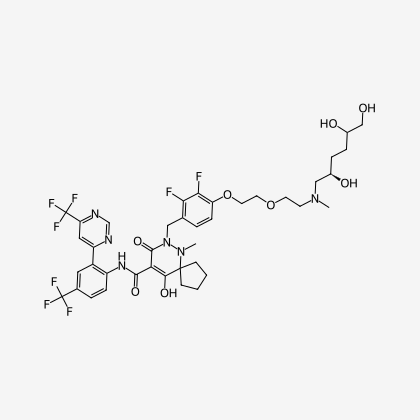 CN(CCOCCOc1ccc(CN2C(=O)C(C(=O)Nc3ccc(C(F)(F)F)cc3-c3cc(C(F)(F)F)ncn3)=C(O)C3(CCCC3)N2C)c(F)c1F)C[C@H](O)CCC(O)CO